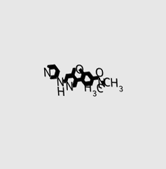 CN(C)C(=O)c1ccc2c(c1)OCc1cc(Nc3cccnc3)ncc1-2